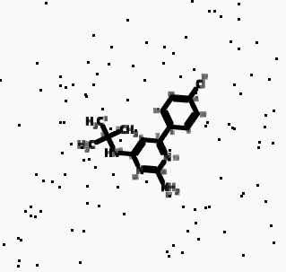 CC(C)(C)Nc1cc(-c2ccc(Cl)cc2)nc(N)n1